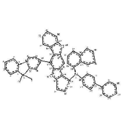 CC1(C)c2ccccc2-c2ccc(-c3c4oc5cccc(N(c6ccc(-c7ccccc7)cc6)c6cccc7ccccc67)c5c4cc4oc5ccccc5c34)cc21